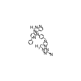 CC1CN(Cc2ccc(-n3c(-c4cccnc4N)nc4ccc(-c5ccccc5)nc43)cc2)CCN1c1ncnc(C#N)n1